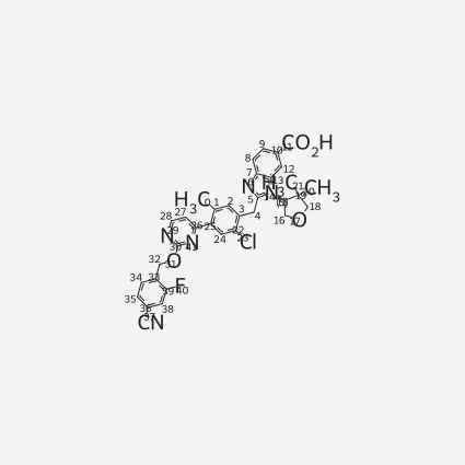 Cc1cc(Cc2nc3ccc(C(=O)O)cc3n2[C@@H]2COCC2(C)C)c(Cl)cc1-c1ccnc(OCc2ccc(C#N)cc2F)n1